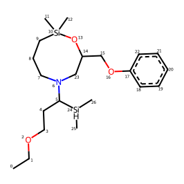 CCOCCC(N1CCC[Si](C)(C)OC(COc2ccccc2)C1)[SiH](C)C